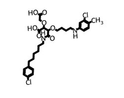 Cc1ccc(NCCCCOC(C(=O)NCCCCCCc2ccc(Cl)cc2)C(OCC(=O)O)C(=O)O)cc1Cl